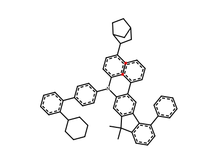 CC1(C)c2cc(N(c3ccc(-c4ccccc4C4CCCCC4)cc3)c3ccc(C4CC5CCC4C5)cc3)c(-c3ccccc3)cc2-c2c(-c3ccccc3)cccc21